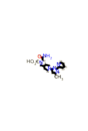 Cc1cc(N2CCC(CN(CC(N)=O)C(=O)O)CC2)nc(-c2ccccn2)n1